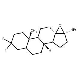 CC(C)[C@]12CCC3[C@@H]4CCC5CC(F)(F)CC[C@]5(C)C4CC[C@@]31O2